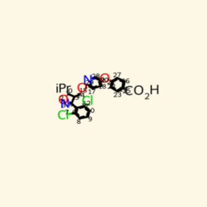 CC(C)C1ON=C(c2c(Cl)cccc2Cl)C1COc1ccc(Oc2ccc(C(=O)O)cc2)cn1